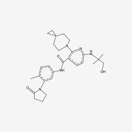 Cc1ccc(NC(=O)c2ccc(NC(C)(C)CO)nc2N2CCC3(CC2)CC3)cc1N1CCCC1=O